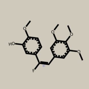 COc1ccc(/C(F)=C\c2cc(OC)c(OC)c(OC)c2)cc1O